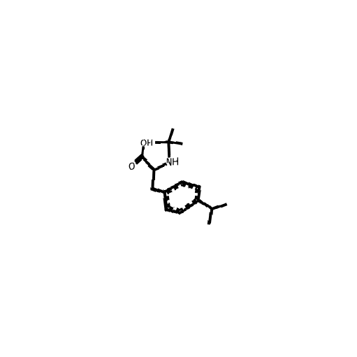 CC(C)c1ccc(CC(NC(C)(C)C)C(=O)O)cc1